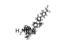 C/C=C(\C)c1ccc(-c2ccc3c(c2)C(C)(F)c2cc(-c4cnc([C@@H]5CC6(CC6)CN5C(=O)[C@@H](N)C(C)C)[nH]4)ccc2-3)cc1